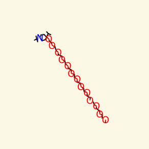 COCCOCCOCCOCCOCCOCCOCCOCCOCCOCCOCCOCCOC1(C(C)C)CCN(C(C)(C)C)CC1